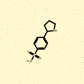 NS(=O)(=O)c1ccc(C2CCCN2)cc1